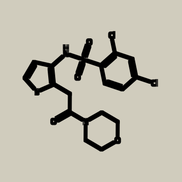 O=C(Cc1sccc1NS(=O)(=O)c1ccc(Cl)cc1Cl)N1CCOCC1